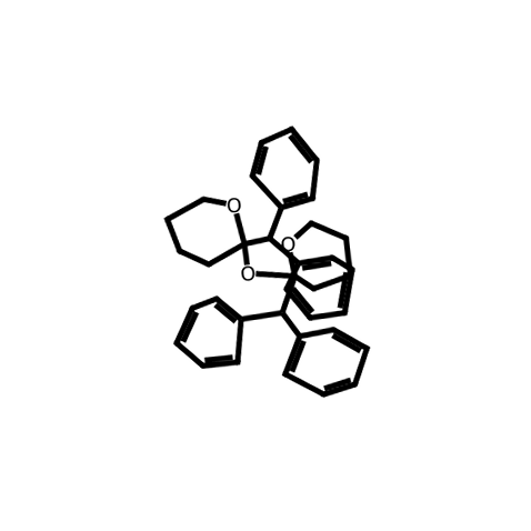 c1ccc(C(c2ccccc2)C2(OC3(C(c4ccccc4)c4ccccc4)CCCCO3)CCCCO2)cc1